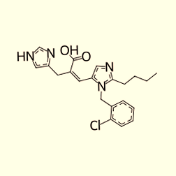 CCCCc1ncc(C=C(Cc2c[nH]cn2)C(=O)O)n1Cc1ccccc1Cl